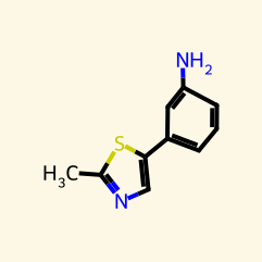 Cc1ncc(-c2cccc(N)c2)s1